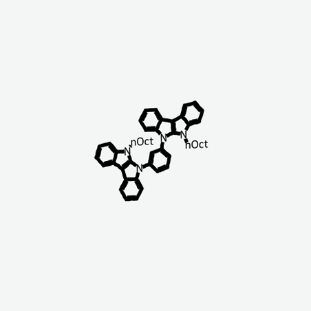 CCCCCCCCn1c2ccccc2c2c3ccccc3n(-c3cccc(-n4c5ccccc5c5c6ccccc6n(CCCCCCCC)c54)c3)c21